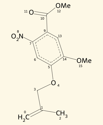 C=C(C)COc1cc([N+](=O)[O-])c(C(=O)OC)cc1OC